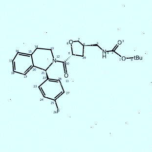 CC(C)(C)OC(=O)NC[C@@H]1CO[C@@H](C(=O)N2CCc3ccccc3[C@@H]2c2ccc(F)cc2)C1